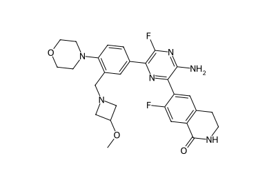 COC1CN(Cc2cc(-c3nc(-c4cc5c(cc4F)C(=O)NCC5)c(N)nc3F)ccc2N2CCOCC2)C1